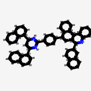 c1ccc2cc(-c3nc4ccccc4c4c3cc(-c3ccc(-c5nc(-c6cccc7ccccc67)cc(-c6cccc7ccccc67)n5)cc3)c3ccccc34)ccc2c1